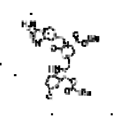 CC(C)(C)OC(=O)[C@@H]1CN(Cc2[nH]c3ccc(Cl)cc3c2OC(=O)C(C)(C)C)CC(=O)N1Cc1ccc2c(N)ncnc2c1